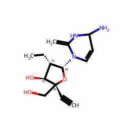 C#C[C@]1(CO)O[C@@H](N2C=CC(N)NC2=C)[C@@H](CC)[C@@H]1O